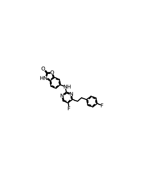 O=c1[nH]c2ccc(Nc3ncc(F)c(CCc4ccc(F)cc4)n3)cc2o1